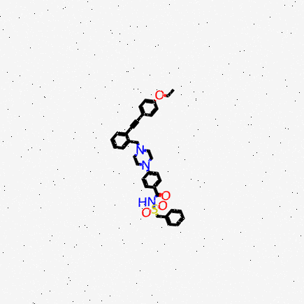 CCOc1ccc(C#Cc2ccccc2CN2CCN(c3ccc(C(=O)NS(=O)(=O)Cc4ccccc4)cc3)CC2)cc1